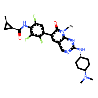 CC(C)n1c(=O)c(-c2cc(F)c(NC(=O)[C@H]3C[C@H]3C)c(F)c2F)cc2cnc(N[C@H]3CC[C@H](N(C)C)CC3)nc21